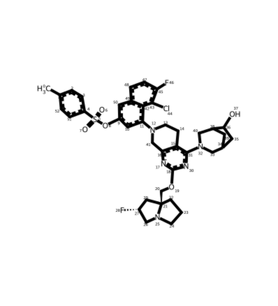 Cc1ccc(S(=O)(=O)Oc2cc(N3CCc4c(nc(OC[C@@]56CCCN5C[C@H](F)C6)nc4N4CC5CC(O)C(C5)C4)C3)c3c(Cl)c(F)ccc3c2)cc1